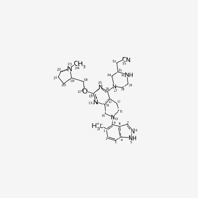 Cc1ccc2[nH]ncc2c1N1CCc2c(nc(OCC3CCCN3C)nc2N2CCNC(CC#N)C2)C1